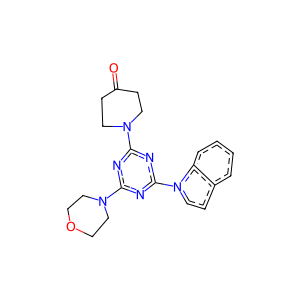 O=C1CCN(c2nc(N3CCOCC3)nc(-n3ccc4ccccc43)n2)CC1